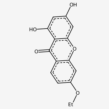 CCOc1ccc2c(=O)c3c(O)cc(O)cc3oc2c1